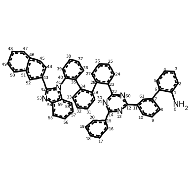 Nc1ccccc1-c1cccc(-c2nc(-c3ccccc3)nc(-c3ccccc3-c3ccccc3-c3ccccc3-n3c(-c4ccc5ccccc5c4)nc4ccccc43)n2)c1